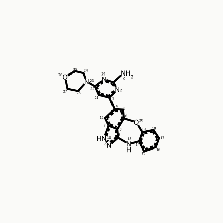 Nc1nc(-c2cc3c4c(n[nH]c4c2)Nc2ccccc2O3)cc(N2CCOCC2)n1